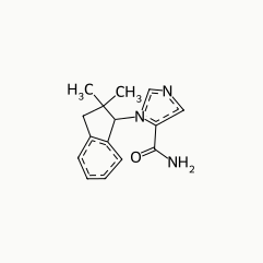 CC1(C)Cc2ccccc2C1n1cncc1C(N)=O